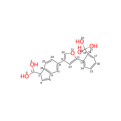 OC(O)C1C=Cc2cc(-c3coc(-c4ccccc4C(O)(O)O)c3)ccc21